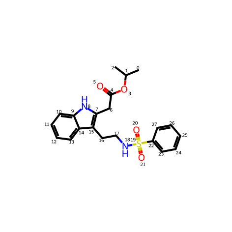 CC(C)OC(=O)Cc1[nH]c2ccccc2c1CCNS(=O)(=O)c1ccccc1